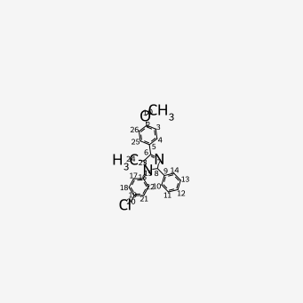 COc1ccc(C2=NC(c3ccccc3)N(c3ccc(Cl)cc3)C2C)cc1